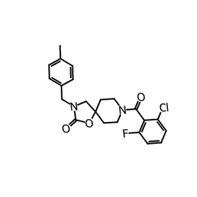 Cc1ccc(CN2CC3(CCN(C(=O)c4c(F)cccc4Cl)CC3)OC2=O)cc1